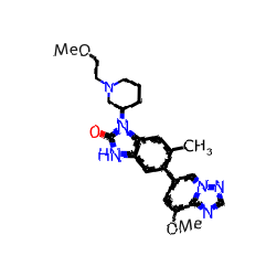 COCCN1CCCC(n2c(=O)[nH]c3cc(-c4cc(OC)c5ncnn5c4)c(C)cc32)C1